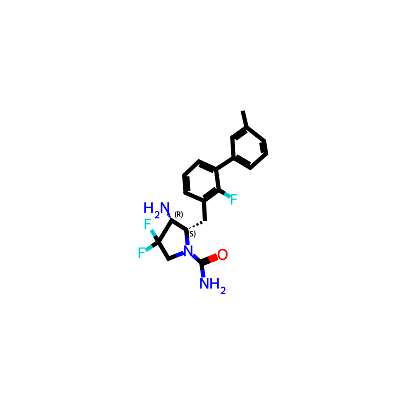 Cc1cccc(-c2cccc(C[C@H]3[C@@H](N)C(F)(F)CN3C(N)=O)c2F)c1